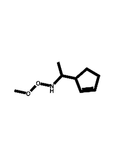 COONC(C)C1C=CCC1